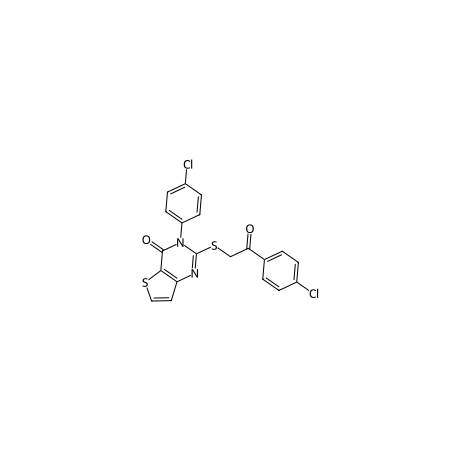 O=C(CSc1nc2ccsc2c(=O)n1-c1ccc(Cl)cc1)c1ccc(Cl)cc1